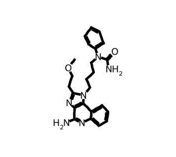 COCCc1nc2c(N)nc3ccccc3c2n1CCCCN(C(N)=O)c1ccccc1